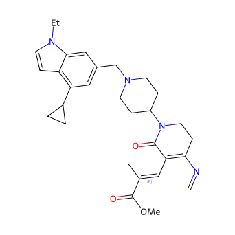 C=NC1=C(/C=C(\C)C(=O)OC)C(=O)N(C2CCN(Cc3cc(C4CC4)c4ccn(CC)c4c3)CC2)CC1